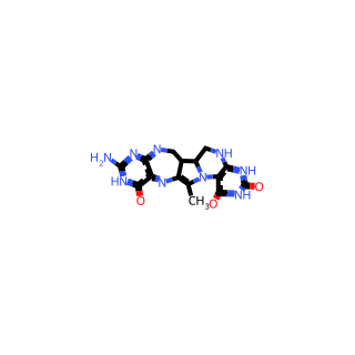 CC1=C2N=c3c(nc(N)[nH]c3=O)=NCC2C2CNc3[nH]c(=O)[nH]c(=O)c3N12